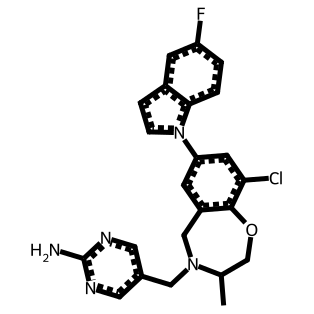 CC1COc2c(Cl)cc(-n3ccc4cc(F)ccc43)cc2CN1Cc1cnc(N)nc1